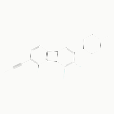 CC#Cc1ccc2c(c1F)C1C(F)=C(F)C(C3CCC(C)CC3)=CC21